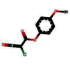 CC(C)Oc1ccc(OC(=O)C(Cl)=C=O)cc1